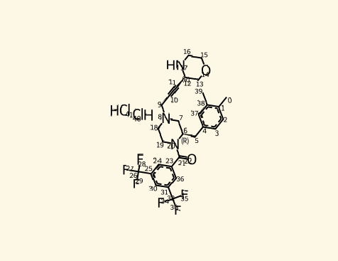 Cc1ccc(C[C@@H]2CN(CC#C[C@@H]3COCCN3)CCN2C(=O)c2cc(C(F)(F)F)cc(C(F)(F)F)c2)cc1C.Cl.Cl